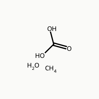 C.O.O=C(O)O